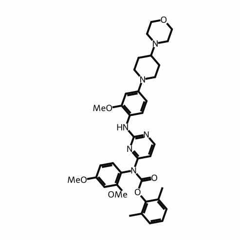 COc1ccc(N(C(=O)Oc2c(C)cccc2C)c2ccnc(Nc3ccc(N4CCC(N5CCOCC5)CC4)cc3OC)n2)c(OC)c1